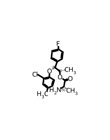 Cc1ccc(O[C@H](c2ccc(F)cc2)[C@H](C)OC(=O)[C@H](C)N)c(Cl)c1